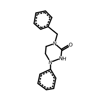 O=C1NN(c2ccccc2)CCN1Cc1ccccc1